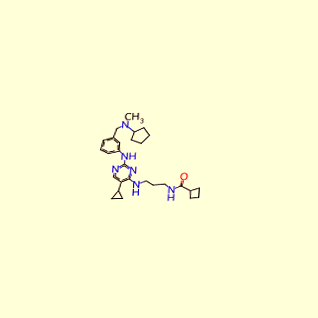 CN(Cc1cccc(Nc2ncc(C3CC3)c(NCCCNC(=O)C3CCC3)n2)c1)C1CCCC1